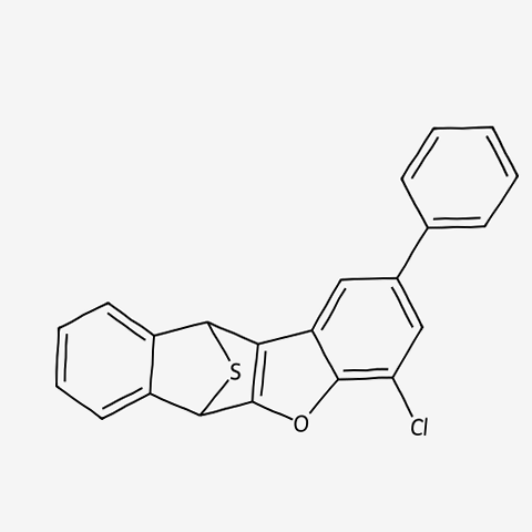 Clc1cc(-c2ccccc2)cc2c3c(oc12)C1SC3c2ccccc21